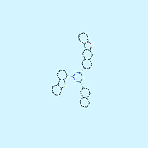 c1ccc2cc(-c3nc(-c4ccc5cc6oc7ccccc7c6cc5c4)nc(-c4cccc5c4sc4ccccc45)n3)ccc2c1